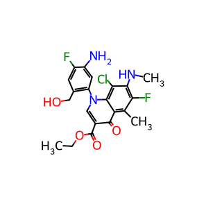 CCOC(=O)c1cn(-c2cc(N)c(F)cc2CO)c2c(Cl)c(NC)c(F)c(C)c2c1=O